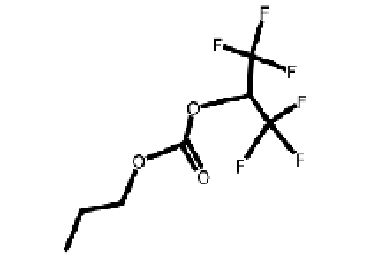 CCCOC(=O)OC(C(F)(F)F)C(F)(F)F